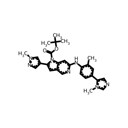 Cc1cc(-c2cncn2C)ccc1Nc1cc2c(cn1)cc(-c1cnn(C)c1)n2C(=O)OC(C)(C)C